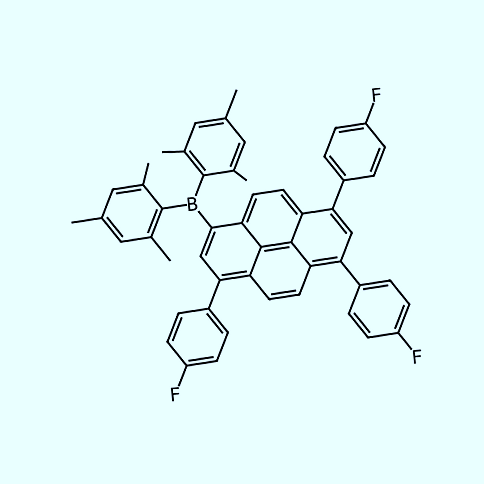 Cc1cc(C)c(B(c2c(C)cc(C)cc2C)c2cc(-c3ccc(F)cc3)c3ccc4c(-c5ccc(F)cc5)cc(-c5ccc(F)cc5)c5ccc2c3c54)c(C)c1